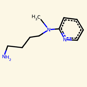 CN(CCCCN)c1ccccn1